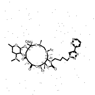 CC[C@H]1OC(=O)[C@H](C)C(=O)C[C@@H](O[C@@H]2OC(C)CC(N(C)C)C2O)[C@@](C)(OC)C[C@@H](C)CN(C(C)=O)[C@H](C)[C@H]2N(CCCCn3cc(-c4cccnn4)nn3)C(=O)O[C@]12C